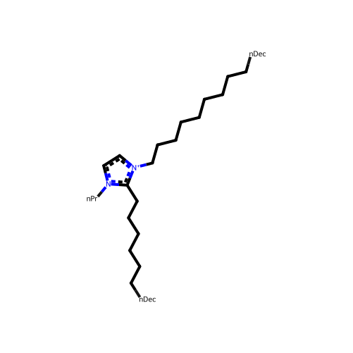 CCCCCCCCCCCCCCCCCCC[n+]1ccn(CCC)c1CCCCCCCCCCCCCCCC